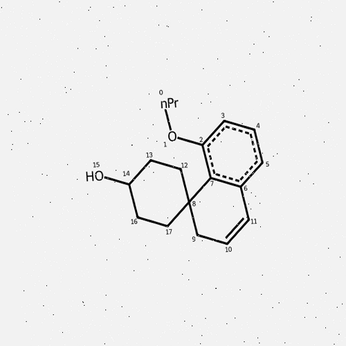 CCCOc1cccc2c1C1(CC=C2)CCC(O)CC1